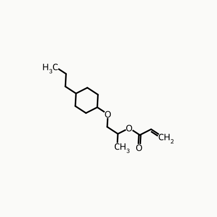 C=CC(=O)OC(C)COC1CCC(CCC)CC1